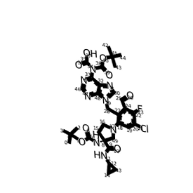 CC(C)(C)OC(=O)N[C@]1(C(=O)NC2CC2)CCN(c2cc(Cl)c(F)c(C=O)c2Cn2cnc3c(N(C(=O)O)C(=O)OC(C)(C)C)ncnc32)C1